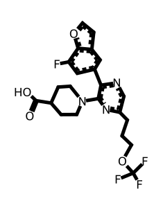 O=C(O)C1CCN(c2nc(CCCOC(F)(F)F)cnc2-c2cc(F)c3occc3c2)CC1